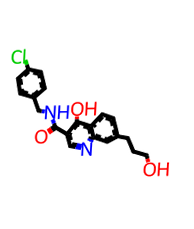 O=C(NCc1ccc(Cl)cc1)c1cnc2cc(CCCO)ccc2c1O